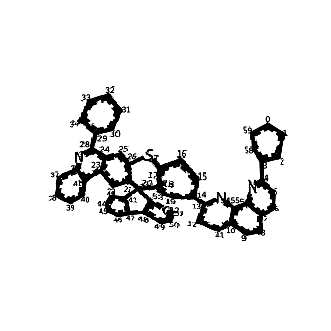 c1ccc(-c2ccc3ccc4ccc(-c5ccc6c(c5)C5(c7cc8c(cc7S6)c(-c6ccccc6)nc6ccccc68)c6ccccc6-c6ccccc65)nc4c3n2)cc1